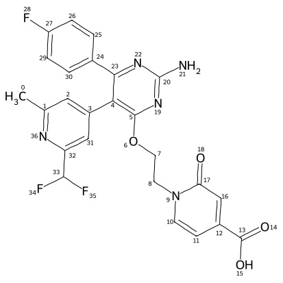 Cc1cc(-c2c(OCCn3ccc(C(=O)O)cc3=O)nc(N)nc2-c2ccc(F)cc2)cc(C(F)F)n1